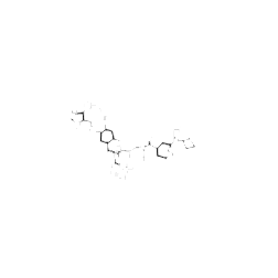 Cc1ncoc1COc1cc2c(cc1F)C[Si@@H]([C@H](O)CNC(=O)c1ccnc(NC3CCC3)c1)N(C(=O)OC(C)(C)C)C2